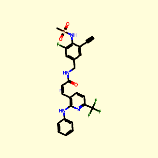 C#Cc1cc(CNC(=O)/C=C\c2ccc(C(F)(F)F)nc2Nc2ccccc2)cc(F)c1NS(C)(=O)=O